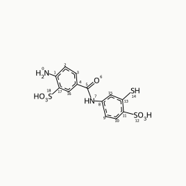 Nc1ccc(C(=O)Nc2ccc(S(=O)(=O)O)c(S)c2)cc1S(=O)(=O)O